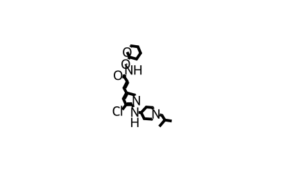 CC(C)CN1CCC(Nc2ncc(C=CC(=O)NOC3CCCCO3)cc2Cl)CC1